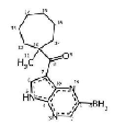 Bc1cnc2[nH]cc(C(=O)C3(C)CCCCCC3)c2n1